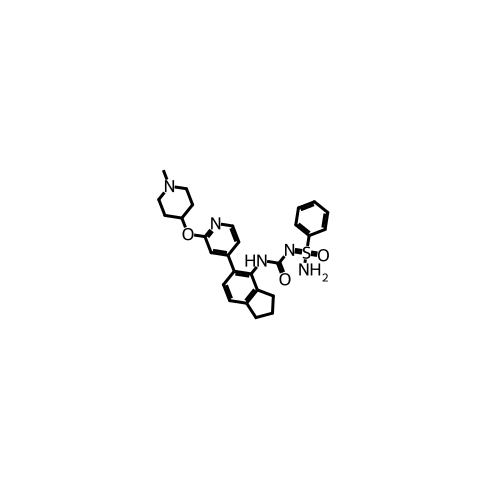 CN1CCC(Oc2cc(-c3ccc4c(c3NC(=O)N=S(N)(=O)c3ccccc3)CCC4)ccn2)CC1